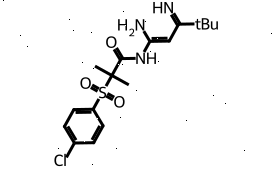 CC(C)(C)C(=N)/C=C(\N)NC(=O)C(C)(C)S(=O)(=O)c1ccc(Cl)cc1